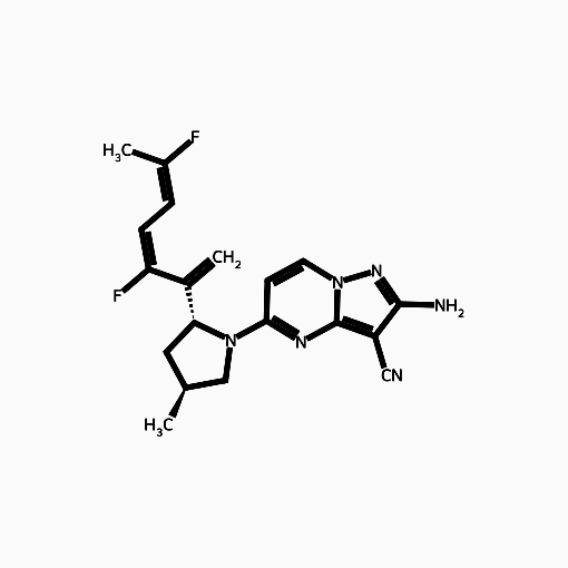 C=C(/C(F)=C\C=C(/C)F)[C@H]1C[C@H](C)CN1c1ccn2nc(N)c(C#N)c2n1